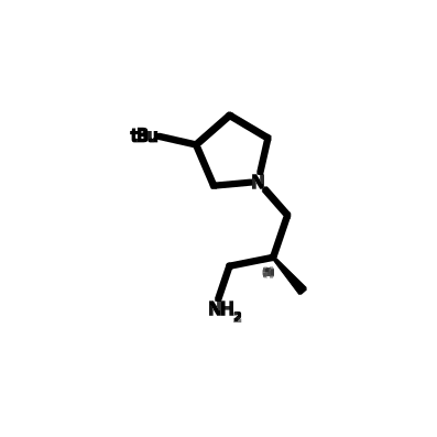 C[C@@H](CN)CN1CCC(C(C)(C)C)C1